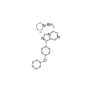 BN1CCC[C@H]1c1nc(-c2ccc(Oc3ccccc3)cc2)c2cnccn12